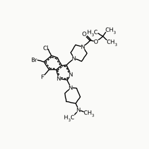 CN(C)C1CCN(c2nc(N3CCN(C(=O)OC(C)(C)C)CC3)c3cc(Cl)c(Br)c(F)c3n2)CC1